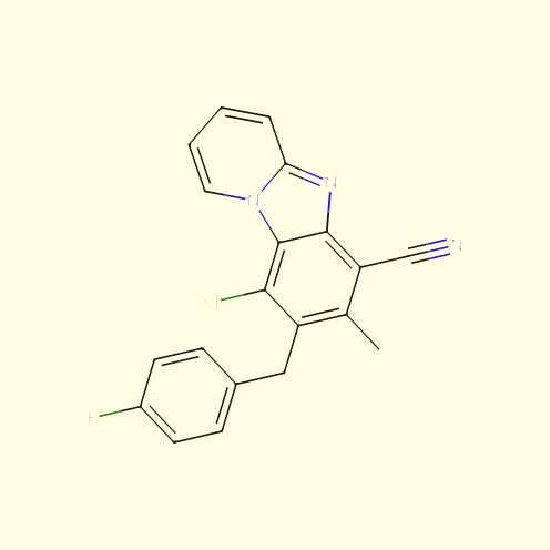 Cc1c(Cc2ccc(F)cc2)c(Cl)c2c(nc3ccccn32)c1C#N